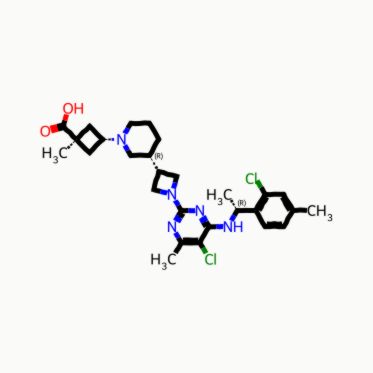 Cc1ccc([C@@H](C)Nc2nc(N3CC([C@H]4CCCN([C@H]5C[C@](C)(C(=O)O)C5)C4)C3)nc(C)c2Cl)c(Cl)c1